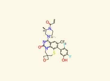 C=CC(=O)N1C[C@H](C)N(c2nc(=O)n3c4c(c(-c5cc(O)c(F)cc5F)c(C(F)(F)F)cc24)SCC2(COC2)C3)C[C@H]1C